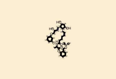 CC(NC(=O)CCC/C=C\C[C@@H]1[C@@H](/C=C/[C@@H](O)COc2cccc(Cl)c2)[C@H](O)C[C@@H]1O)C(=O)Oc1ccccc1CO[N+](=O)[O-]